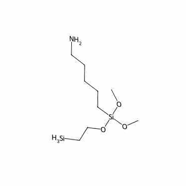 CO[Si](CCCCCN)(OC)OCC[SiH3]